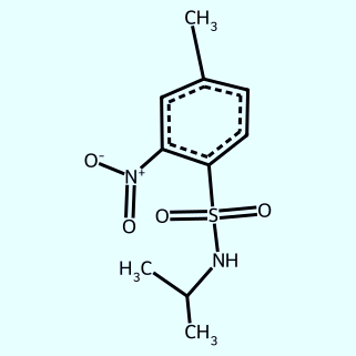 Cc1ccc(S(=O)(=O)NC(C)C)c([N+](=O)[O-])c1